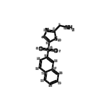 NCc1ncc(S(=O)(=O)c2ccc3ccccc3c2)s1